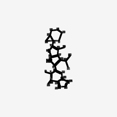 Cc1c(-c2[nH]c3sc(C45CCCCC4C5)c(C)c3c2C(C)C)cn2ncnc2c1C